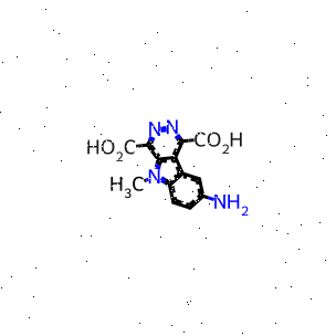 Cn1c2ccc(N)cc2c2c(C(=O)O)nnc(C(=O)O)c21